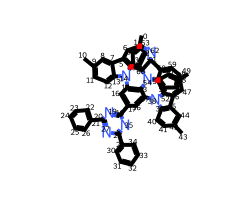 Cc1ccc2c(c1)c1cc(C)ccc1n2-c1cc(-c2nc(-c3ccccc3)nc(-c3ccccc3)n2)cc(-n2c3ccc(C)cc3c3cc(C)ccc32)c1-n1c2ccccc2c2ncccc21